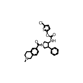 CN1CCc2cc(C(=O)N3CC(NC(=O)Oc4ccc(Cl)s4)C(c4ccccc4)C3)ccc2C1